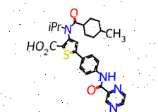 CC1CCC(C(=O)N(c2cc(-c3ccc(NC(=O)c4cnccn4)cc3)sc2C(=O)O)C(C)C)CC1